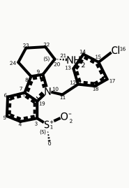 C[S@@+]([O-])c1cccc2c3c(n(Cc4ccc(Cl)cc4)c12)[C@@H](N)CCC3